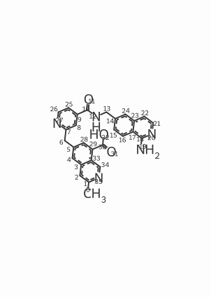 Cc1cc2cc(Cc3cc(C(=O)NCc4ccc5c(N)nccc5c4)ccn3)cc(C(=O)O)c2cn1